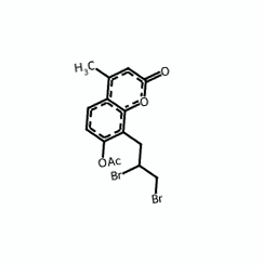 CC(=O)Oc1ccc2c(C)cc(=O)oc2c1CC(Br)CBr